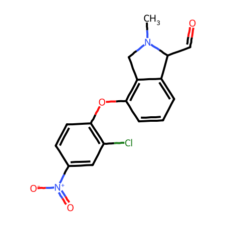 CN1Cc2c(Oc3ccc([N+](=O)[O-])cc3Cl)cccc2C1C=O